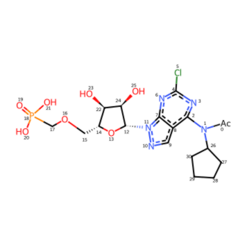 CC(=O)N(c1nc(Cl)nc2c1cnn2[C@@H]1O[C@H](COCP(=O)(O)O)[C@@H](O)[C@H]1O)C1CCCC1